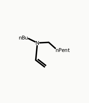 C=CN(CCCC)CCCCCC